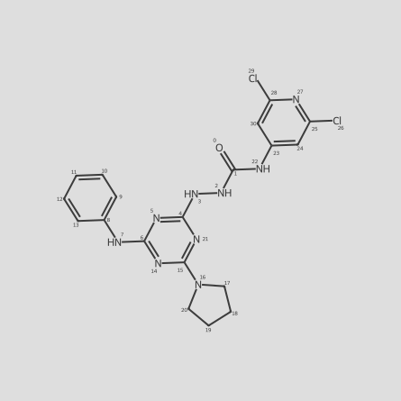 O=C(NNc1nc(Nc2ccccc2)nc(N2CCCC2)n1)Nc1cc(Cl)nc(Cl)c1